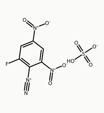 N#[N+]c1c(F)cc([N+](=O)[O-])cc1[N+](=O)[O-].O=S(=O)([O-])O